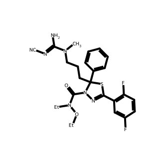 CCON(CC)C(=O)N1N=C(c2cc(F)ccc2F)SC1(CCCN(C)C(N)=NC#N)c1ccccc1